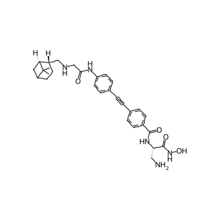 CC1(C)C2CC[C@@H](CNCC(=O)Nc3ccc(C#Cc4ccc(C(=O)N[C@@H](CN)C(=O)NO)cc4)cc3)[C@@H]1C2